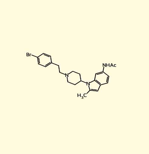 CC(=O)Nc1ccc2cc(C)n(C3CCN(CCc4ccc(Br)cc4)CC3)c2c1